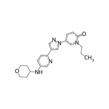 CCCn1cc(-n2cc(-c3ccc(NC4CCOCC4)cn3)cn2)ccc1=O